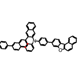 c1ccc(-c2ccc3ccc(-c4cc5ccccc5cc4N(c4ccccc4)c4ccc(-c5ccc6c(c5)oc5ccc7ccccc7c56)cc4)cc3c2)cc1